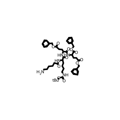 CC(C)(C)OC(=O)NCCCCC(NC(=O)CCCCCN)C(=O)NC(CCC(=O)OCc1ccccc1)C(=O)NC(CCC(=O)OCc1ccccc1)C(=O)OCc1ccccc1